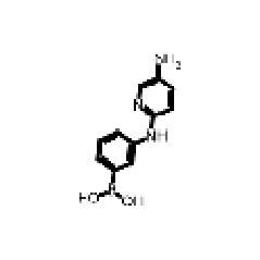 Nc1ccc(Nc2cccc(B(O)O)c2)nc1